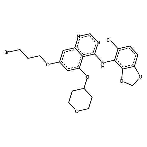 Clc1ccc2c(c1Nc1ncnc3cc(OCCCBr)cc(OC4CCOCC4)c13)OCO2